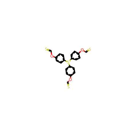 S=COc1ccc([S+](c2ccc(OC=S)cc2)c2ccc(OC=S)cc2)cc1